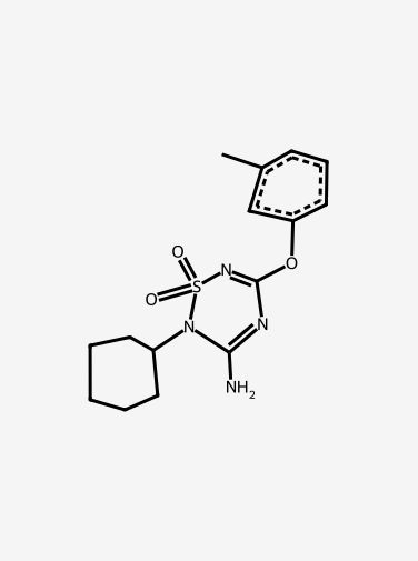 Cc1cccc(OC2=NS(=O)(=O)N(C3CCCCC3)C(N)=N2)c1